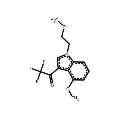 COCCn1cc(C(=O)C(F)(F)F)c2c(OC)cccc21